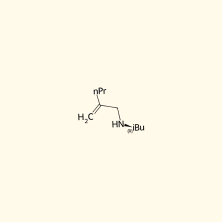 C=C(CCC)CN[C@H](C)CC